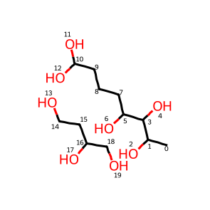 CC(O)C(O)C(O)CCCC(O)O.OCCC(O)CO